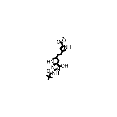 COC(=O)c1cc(CCC2CNc3nc(NC(=O)C(C)(C)C)nc(O)c3C2)c[nH]1